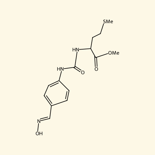 COC(=O)C(CCSC)NC(=O)Nc1ccc(C=NO)cc1